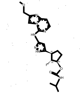 COCc1cn2c(Nc3cc([C@H]4CC[C@@H](OC(=O)NC(C)C)[C@@H]4F)[nH]n3)nccc2n1